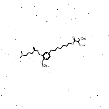 C=C(CCCN(C)C)OCc1cc(CCCCCCCOC(=O)C(CCCCCCCCCC)CCCCCCCCCC)ccc1OCCCCCCCC